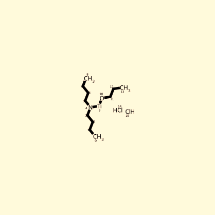 CCCC[N](CCCC)[Ti][O]CCC.Cl.Cl